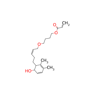 C=CC(=O)OCCCCOC/C=C\CCC1C(C)=C(C)C=CC1O